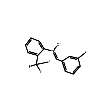 [O-][N+](=Cc1cccc(F)c1)c1ccccc1C(F)(F)F